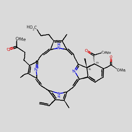 C=Cc1c(C)c2cc3nc(cc4[nH]c(cc5nc(cc1[nH]2)C(C)=C5CCC(=O)OC)c(CCC(=O)O)c4C)[C@@]1(C)C3=CC=C(C(=O)OC)[C@H]1C(=O)OC